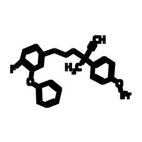 C#CC(C)(CCCc1ccc(F)c(Oc2ccccc2)c1)c1ccc(OC(C)C)cc1